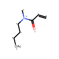 C=CC(=O)N(C)CCCOC(C)=O